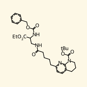 CCOC(=O)C(CNC(=O)CCCCc1ccc2c(n1)N(C(=O)OC(C)(C)C)CCC2)NC(=O)OCc1ccccc1